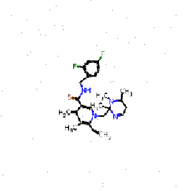 C=CC1=C(C)C(=C)C(C(=S)NCc2ccc(F)cc2F)=CN1CC1(C)N=CCC(C)N1C